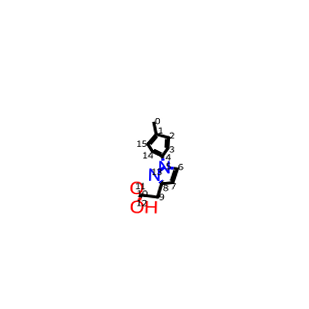 Cc1ccc(-n2ccc(CC(=O)O)n2)cc1